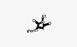 CCCC(C)C1=CC(=O)N(CC)C1=O